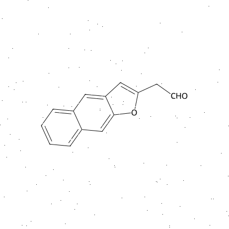 O=CCc1cc2cc3ccccc3cc2o1